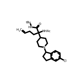 C=CCCC(NC(C)=O)(C(=O)NC(C)(C)C)C1CCN(C2CCc3cc(Cl)ccc32)CC1